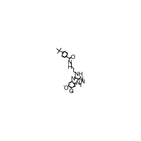 COc1cc2nc(NCCCCNC(=O)c3ccc(C(C)(C)C)cc3)c3nnc(C)n3c2cc1OC